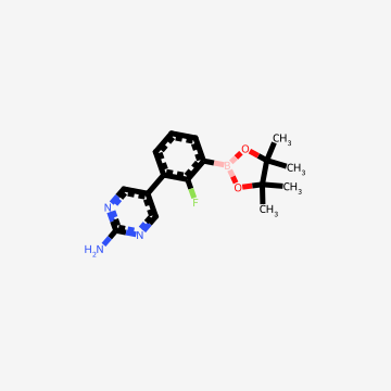 CC1(C)OB(c2cccc(-c3cnc(N)nc3)c2F)OC1(C)C